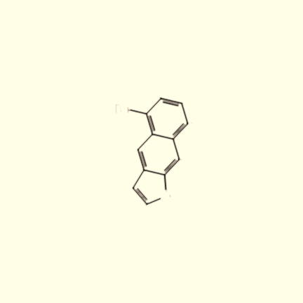 CC(C)(C)c1cccc2cc3occc3cc12